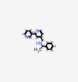 C[C@@H](NCc1ccnc(-c2cccnc2)c1)c1ccccc1